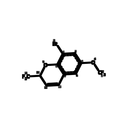 CCc1cc(OC(F)(F)F)cc2c1OC(C(F)(F)F)C=C2